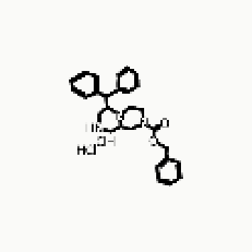 Cl.Cl.O=C(OCc1ccccc1)N1CCN2C(CNCC2C(c2ccccc2)c2ccccc2)C1